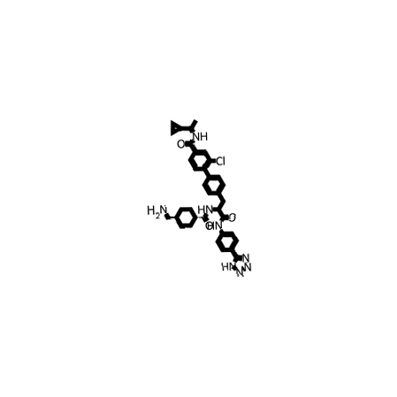 CC(NC(=O)c1ccc(-c2ccc(CC(NC(=O)[C@H]3CC[C@H](CN)CC3)C(=O)Nc3ccc(-c4nnn[nH]4)cc3)cc2)c(Cl)c1)C1CC1